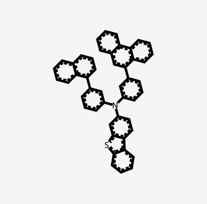 c1cc(-c2cccc3ccccc23)cc(N(c2cccc(-c3cc4ccccc4c4ccccc34)c2)c2ccc3c(c2)sc2ccccc23)c1